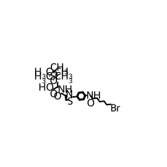 CC(C)(C)[Si](C)(C)OCC(NC(=O)c1csc(-c2ccc(NC(=O)CCCCCBr)cc2)n1)C(=O)O